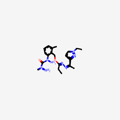 CCC(=NN=C(C)c1ccn(CC)n1)OCc1c(C)cccc1N(N)C(=O)N(C)N